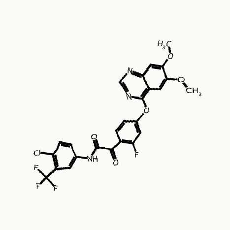 COc1cc2ncnc(Oc3ccc(C(=O)C(=O)Nc4ccc(Cl)c(C(F)(F)F)c4)c(F)c3)c2cc1OC